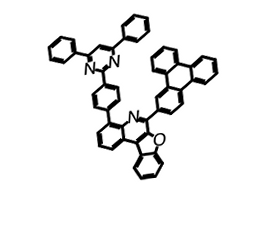 c1ccc(-c2cc(-c3ccccc3)nc(-c3ccc(-c4cccc5c4nc(-c4ccc6c7ccccc7c7ccccc7c6c4)c4oc6ccccc6c45)cc3)n2)cc1